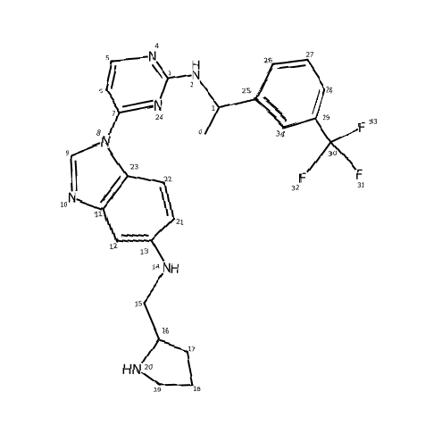 CC(Nc1nccc(-n2cnc3cc(NCC4CCCN4)ccc32)n1)c1cccc(C(F)(F)F)c1